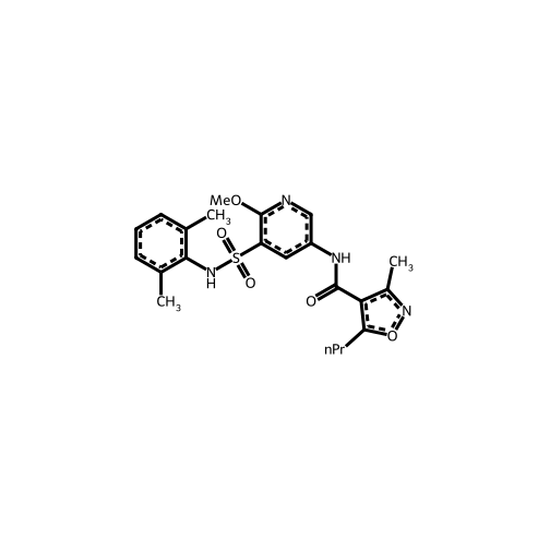 CCCc1onc(C)c1C(=O)Nc1cnc(OC)c(S(=O)(=O)Nc2c(C)cccc2C)c1